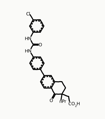 CCCC1(CC(=O)O)CCc2cc(-c3ccc(NC(=O)Nc4cccc(Cl)c4)cc3)ccc2C1=O